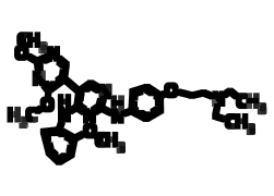 CCN(CC)CCOc1ccc(Nc2ncc(-c3cnc(OC)nc3OC)c(Nc3ccccc3OC)n2)cc1